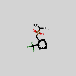 CC(C)S(=O)(=O)Cc1ccccc1C(F)(F)F